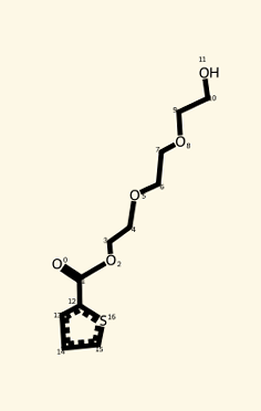 O=C(OCCOCCOCCO)c1cccs1